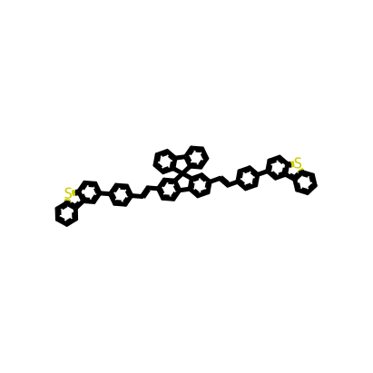 C(=C\c1ccc2c(c1)C1(c3ccccc3-c3ccccc31)c1cc(/C=C/c3ccc(-c4ccc5sc6ccccc6c5c4)cc3)ccc1-2)/c1ccc(-c2ccc3sc4ccccc4c3c2)cc1